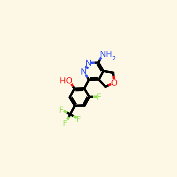 Nc1nnc(-c2c(O)cc(C(F)(F)F)cc2F)c2c1COC2